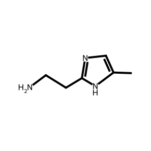 Cc1cnc(CCN)[nH]1